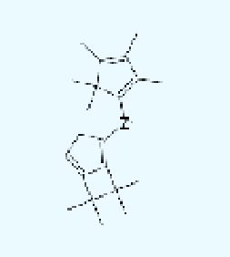 CC1=C(C)C(C)(C)[C]([Zr][C]2=C3C(=CC2)C(C)(C)C3(C)C)=C1C